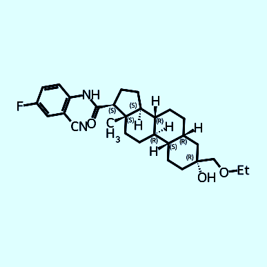 CCOC[C@@]1(O)CC[C@H]2[C@H](CC[C@@H]3[C@@H]2CC[C@]2(C)[C@@H](C(=O)Nc4ccc(F)cc4C#N)CC[C@@H]32)C1